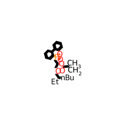 C=C(C)C(=O)OC(COCC(CC)CCCC)CP1(=O)Oc2ccccc2C2CC=CC=C21